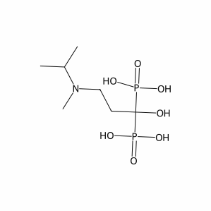 CC(C)N(C)CCC(O)(P(=O)(O)O)P(=O)(O)O